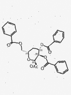 CC(=O)O[C@H]1O[C@H](COC(=O)c2ccccc2)C[C@H](OC(=O)c2ccccc2)[C@H]1OC(=O)c1ccccc1